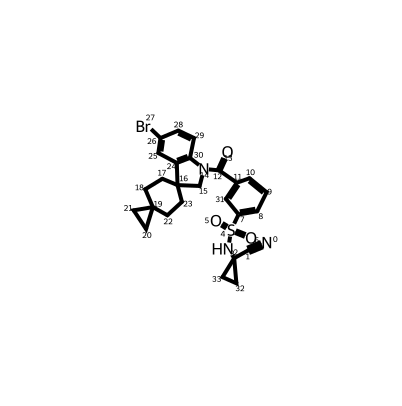 N#CC1(NS(=O)(=O)c2cccc(C(=O)N3CC4(CCC5(CC5)CC4)c4cc(Br)ccc43)c2)CC1